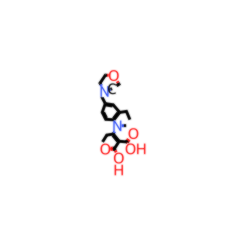 CCC(=C(C(=O)O)C(=O)O)N(C)c1ccc(CN2CCOCC2)cc1CC